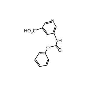 O=C(Nc1cncc(C(=O)O)c1)Oc1ccccc1